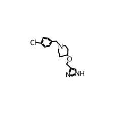 Clc1ccc(CN2CCC(OCc3c[nH]cn3)CC2)cc1